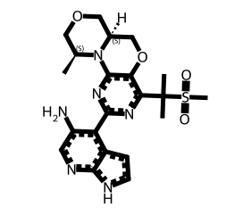 C[C@H]1COC[C@H]2COc3c(nc(-c4c(N)cnc5[nH]ccc45)nc3C(C)(C)S(C)(=O)=O)N21